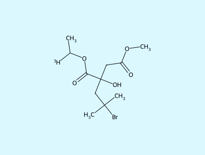 [3H]C(C)OC(=O)C(O)(CC(=O)OC)CC(C)(C)Br